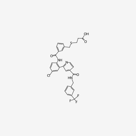 O=C(O)CCSCc1cccc(C(=O)Nc2ccc(Cl)cc2-c2cc(C(=O)NCc3cccc(C(F)(F)F)c3)ccn2)c1